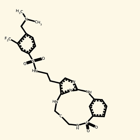 CN(C)Cc1ccc(S(=O)(=O)NCCc2cnc3nc2NCCCNS(=O)(=O)c2cccc(c2)N3)cc1C(F)(F)F